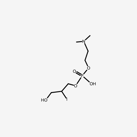 CN(C)CCOP(=O)(O)OCC(I)CO